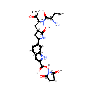 COC(=O)[C@H](C[C@@H]1CC(c2ccc3cc(C(=O)ON4C(=O)CCC4=O)[nH]c3c2)NC1=O)NC(=O)[C@H](N)CC(C)C